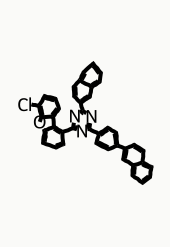 Clc1cccc2c1oc1cccc(-c3nc(-c4ccc(-c5ccc6ccccc6c5)cc4)nc(-c4ccc5ccccc5c4)n3)c12